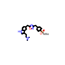 CNS(=O)(=O)c1ccc(Cc2noc(Cc3ccc4[nH]cc(CCN(C)C)c4c3)n2)cc1